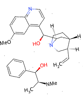 C=C[C@H]1C[N@]2CC[C@H]1C[C@@H]2[C@@H](O)c1ccnc2ccc(OC)cc12.CN[C@@H](C)[C@H](O)c1ccccc1